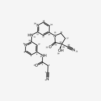 N#CCC(=O)Nc1ccnc(Nc2cc(N3CC[C@](O)(C#N)C3=O)ccn2)c1